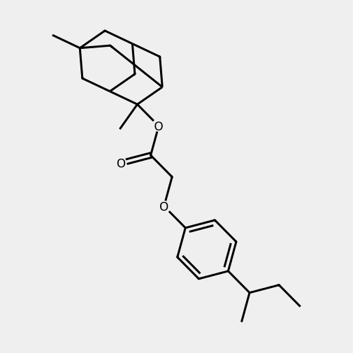 CCC(C)c1ccc(OCC(=O)OC2(C)C3CC4CC2CC(C)(C4)C3)cc1